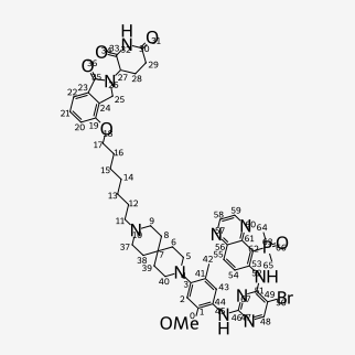 COc1cc(N2CCC3(CCN(CCCCCCCOc4cccc5c4CN(C4CCC(=O)NC4=O)C5=O)CC3)CC2)c(C)cc1Nc1ncc(Br)c(Nc2ccc3nccnc3c2P(C)(C)=O)n1